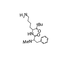 CNC(Cc1ccccc1)C(=O)NC(CCCCN)C(=O)C(C)(C)C